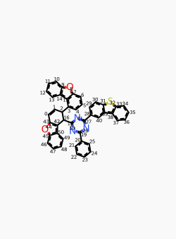 C1=CC(c2cccc3oc4ccccc4c23)C(c2nc(-c3ccccc3)nc(-c3ccc4sc5ccccc5c4c3)n2)c2c1oc1ccccc21